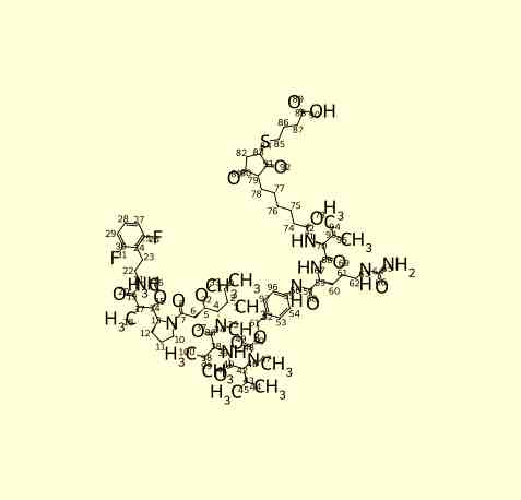 CC[C@H](C)[C@@H]([C@@H](CC(=O)N1CCC[C@H]1[C@H](OC)[C@@H](C)C(=O)NCCc1c(F)cccc1F)OC)N(C)C(=O)[C@@H](NC(=O)[C@H](C(C)C)N(C)C(=O)OCc1ccc(NC(=O)[C@H](CCCNC(N)=O)NC(=O)[C@@H](NC(=O)CCCCCC2C(=O)CC(SCCCC(=O)O)C2=O)C(C)C)cc1)C(C)C